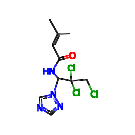 CC(C)=CC(=O)NC(n1cncn1)C(Cl)(Cl)CCl